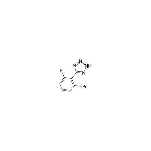 CC(C)c1cccc(F)c1-c1nn[nH]n1